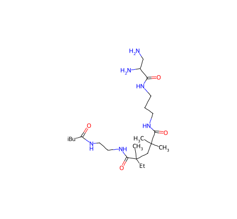 CCC(C)C(=O)NCCNC(=O)C(C)(CC)CC(C)(C)C(=O)NCCCNC(=O)C(N)CN